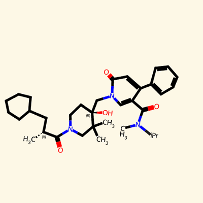 CC(C)N(C)C(=O)c1cn(C[C@@]2(O)CCN(C(=O)[C@H](C)CC3CCCCC3)CC2(C)C)c(=O)cc1-c1ccccc1